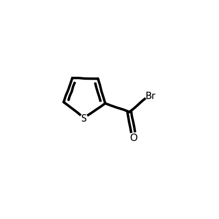 O=C(Br)c1cccs1